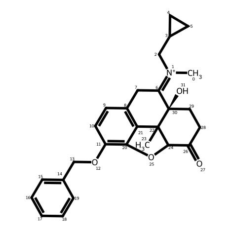 C/[N+](CC1CC1)=C1/Cc2ccc(OCc3ccccc3)c3c2C2(C)C(O3)C(=O)CC[C@@]12O